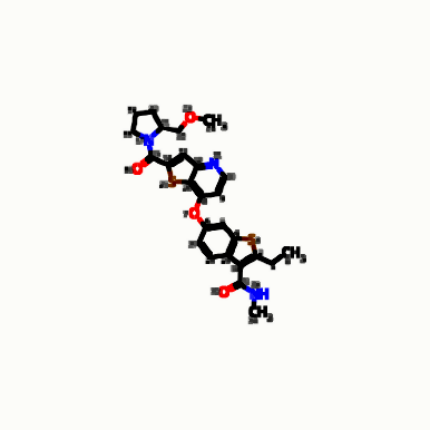 CCc1sc2cc(Oc3ccnc4cc(C(=O)N5CCC[C@H]5COC)sc34)ccc2c1C(=O)NC